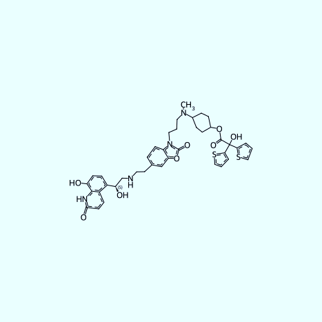 CN(CCCn1c(=O)oc2cc(CCNC[C@@H](O)c3ccc(O)c4[nH]c(=O)ccc34)ccc21)C1CCC(OC(=O)C(O)(c2cccs2)c2cccs2)CC1